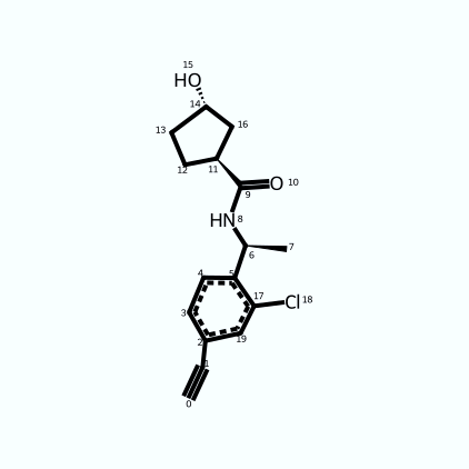 C#Cc1ccc([C@H](C)NC(=O)[C@H]2CC[C@H](O)C2)c(Cl)c1